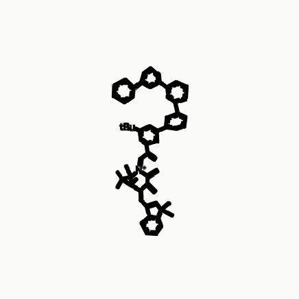 C=C1C(=C)/[N+](=C\C(=C)c2cc(-c3cccc(-c4cccc(-c5cccc(-c6ccccc6)c5)c4)c3)cc(C(C)(C)C)c2)C2(C)C(C)(C)C2(C)/C1=C/C1=CC(C)(C)c2ccccc21